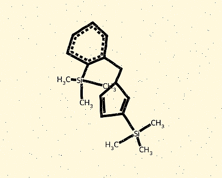 C[Si](C)(C)C1=C[C](Cc2ccccc2[Si](C)(C)C)C=C1